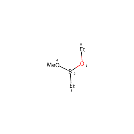 CCOB(CC)OC